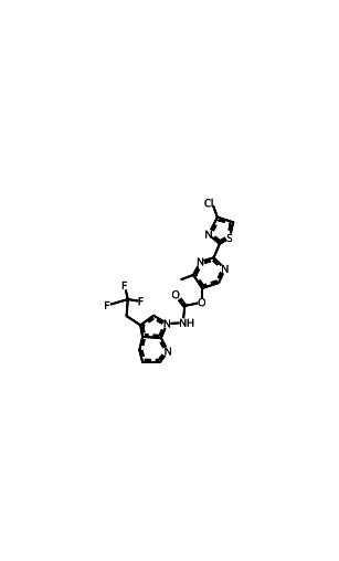 Cc1nc(-c2nc(Cl)cs2)ncc1OC(=O)Nn1cc(CC(F)(F)F)c2cccnc21